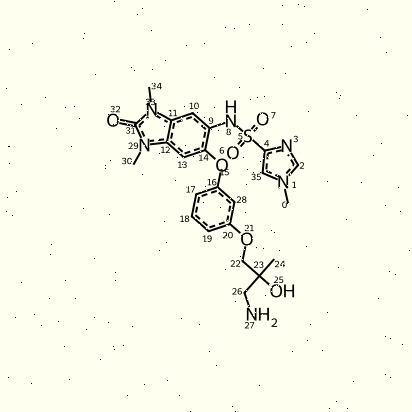 Cn1cnc(S(=O)(=O)Nc2cc3c(cc2Oc2cccc(OCC(C)(O)CN)c2)n(C)c(=O)n3C)c1